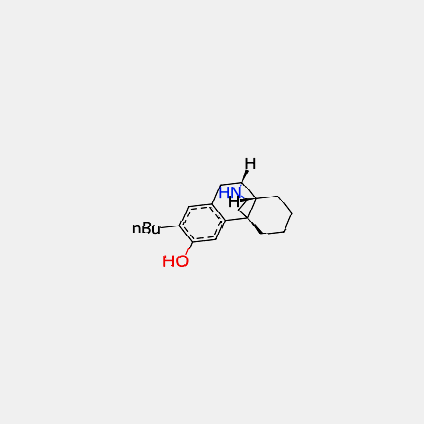 CCCCc1cc2c(cc1O)[C@@]13CCCC[C@H]1[C@@H](C2)NCC3